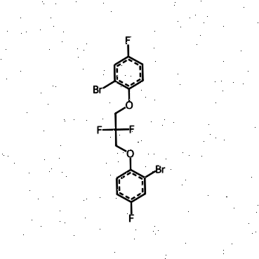 Fc1ccc(OCC(F)(F)COc2ccc(F)cc2Br)c(Br)c1